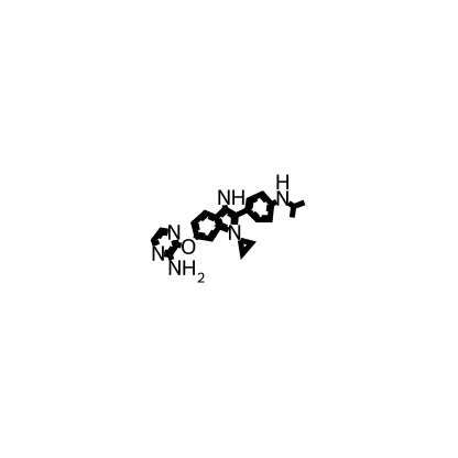 CC(C)Nc1ccc(-c2c(N)c3ccc(Oc4nccnc4N)cc3n2C2CC2)cc1